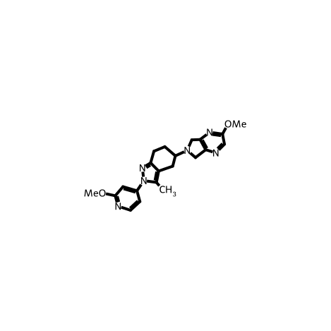 COc1cc(-n2nc3c(c2C)CC(N2Cc4ncc(OC)nc4C2)CC3)ccn1